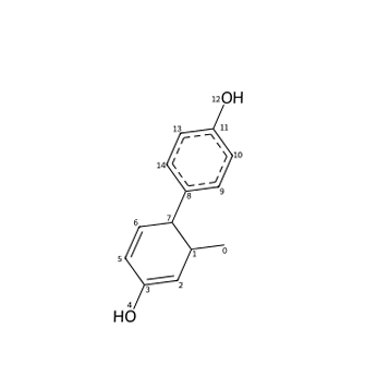 CC1C=C(O)C=CC1c1ccc(O)cc1